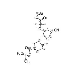 CC(C)(C)OC(=O)C(C)(C)Oc1cc(C#N)cc(CN2CCN(C(=O)OC(C(F)(F)F)C(F)(F)F)CC2)c1